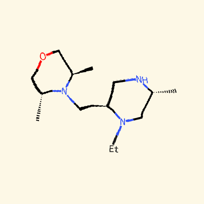 CCN1C[C@@H](C)NC[C@@H]1CN1[C@H](C)COC[C@H]1C